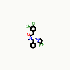 CN(C(=O)Cc1ccc(Cl)c(Cl)c1)[C@H](CN1CCC(F)(F)C1)c1ccccc1